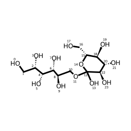 OC[C@H](O)[C@@H](O)[C@H](O)[C@H](O)COC1(O)O[C@H](CO)[C@@H](O)[C@H](O)[C@H]1O